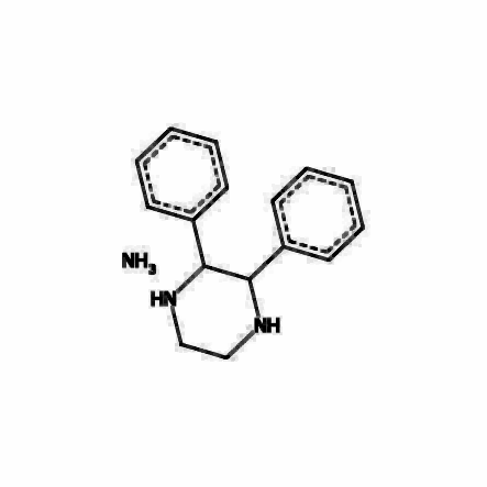 N.c1ccc(C2NCCNC2c2ccccc2)cc1